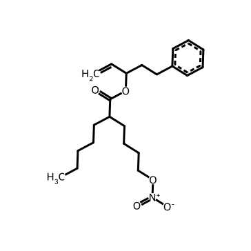 C=CC(CCc1ccccc1)OC(=O)C(CCCCC)CCCCO[N+](=O)[O-]